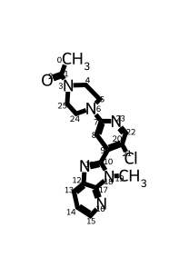 CC(=O)N1CCN(c2cc(-c3nc4cccnc4n3C)c(Cl)cn2)CC1